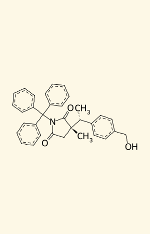 C[C@H](c1ccc(CO)cc1)[C@]1(C)CC(=O)N(C(c2ccccc2)(c2ccccc2)c2ccccc2)C1=O